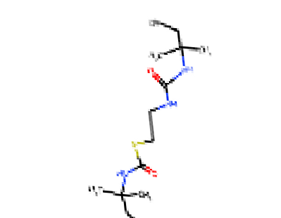 CC(C)(C)CC(C)(C)NC(=O)NCCSC(=O)NC(C)(C)CC(C)(C)C